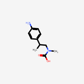 CC(CN(C)C(=O)O)c1ccc(N)cc1